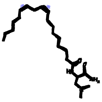 CCCCC/C=C\C/C=C\CCCCCCCC(=O)NC(CN(C)C)C(N)=O